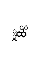 COC(=O)c1cccc2cc(OC(C)C)c(OC)cc12